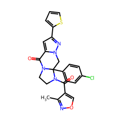 Cc1nocc1C(=O)N1CCN2C(=O)c3cc(-c4cccs4)nn3CC12c1ccc(Cl)cc1